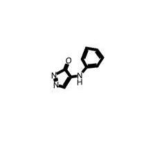 O=C1N=NC=C1Nc1ccccc1